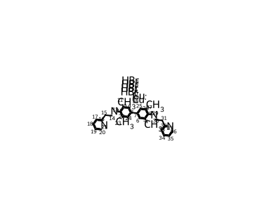 Br.Br.Br.Br.Cc1cc(-c2cc(C)c(N=CCc3ccccn3)c(C)c2)cc(C)c1N=CCc1ccccn1.[Cu].[Cu]